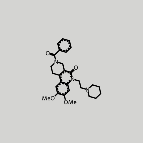 COc1cc2c3c(c(=O)n(CCN4CCCCC4)c2cc1OC)CN(C(=O)c1ccccc1)CC3